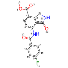 COC(=O)c1ccc(NC(=O)c2ccc(F)cc2)c2c1CNC2=O